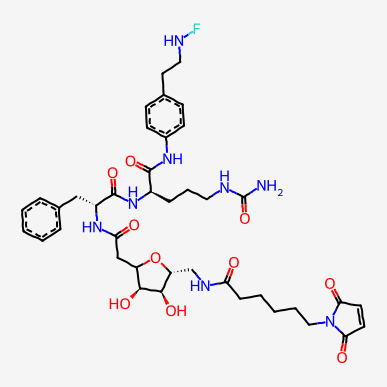 NC(=O)NCCC[C@@H](NC(=O)[C@@H](Cc1ccccc1)NC(=O)CC1O[C@H](CNC(=O)CCCCCN2C(=O)C=CC2=O)[C@@H](O)[C@H]1O)C(=O)Nc1ccc(CCNF)cc1